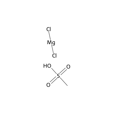 CS(=O)(=O)O.[Cl][Mg][Cl]